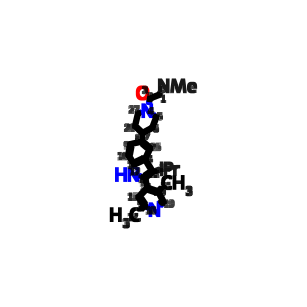 CNCC(=O)N1CCC(c2ccc3[nH]c(-c4cc(C)ncc4C)c(C(C)C)c3c2)CC1